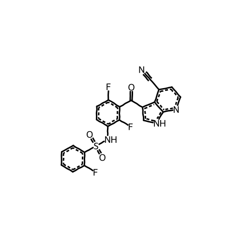 N#Cc1ccnc2[nH]cc(C(=O)c3c(F)ccc(NS(=O)(=O)c4ccccc4F)c3F)c12